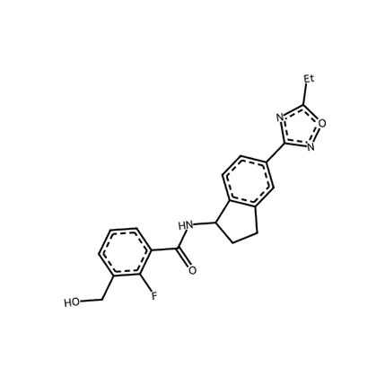 CCc1nc(-c2ccc3c(c2)CCC3NC(=O)c2cccc(CO)c2F)no1